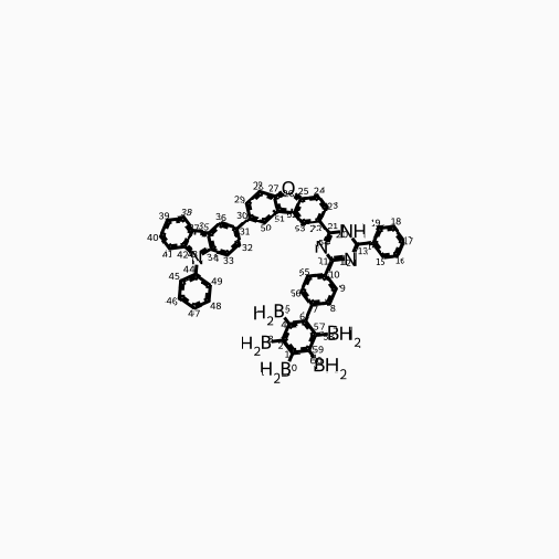 Bc1c(B)c(B)c(-c2ccc(C3=NC(c4ccccc4)NC(c4ccc5oc6ccc(-c7ccc8c(c7)c7ccccc7n8-c7ccccc7)cc6c5c4)=N3)cc2)c(B)c1B